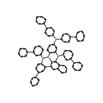 c1ccc(-c2ccc(N(c3ccc(-c4ccccc4)cc3)c3ccc4c(c3)N(c3cccc(-c5ccccc5)c3)c3c5c(cc6ccccc36)-c3cc(-c6ccccc6)ccc3N(c3cccc(-c6ccccc6)c3)B45)cc2)cc1